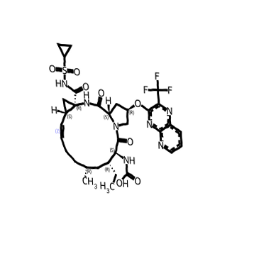 CC[C@@H]1C[C@H](C)CC/C=C\[C@@H]2C[C@@]2(C(=O)NS(=O)(=O)C2CC2)NC(=O)[C@@H]2C[C@@H](Oc3nc4ncccc4nc3C(F)(F)F)CN2C(=O)[C@H]1NC(=O)O